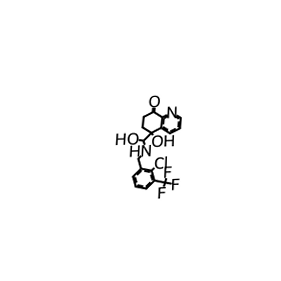 O=C1CCC(O)(C(O)NCc2cccc(C(F)(F)F)c2Cl)c2cccnc21